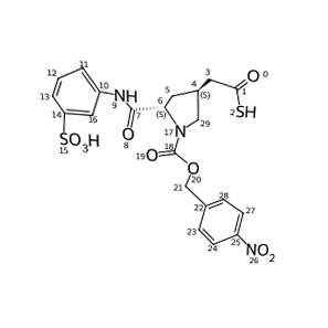 O=C(S)C[C@@H]1C[C@@H](C(=O)Nc2cccc(S(=O)(=O)O)c2)N(C(=O)OCc2ccc([N+](=O)[O-])cc2)C1